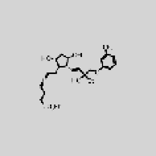 CCOC(=O)CCC=C=CC[C@@H]1[C@@H](C=CC(O)(CC)COc2cccc(C(F)(F)F)c2)[C@H](O)C[C@@H]1O